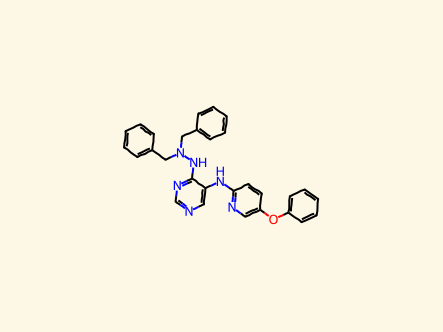 c1ccc(CN(Cc2ccccc2)Nc2ncncc2Nc2ccc(Oc3ccccc3)cn2)cc1